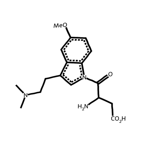 COc1ccc2c(c1)c(CCN(C)C)cn2C(=O)C(N)CC(=O)O